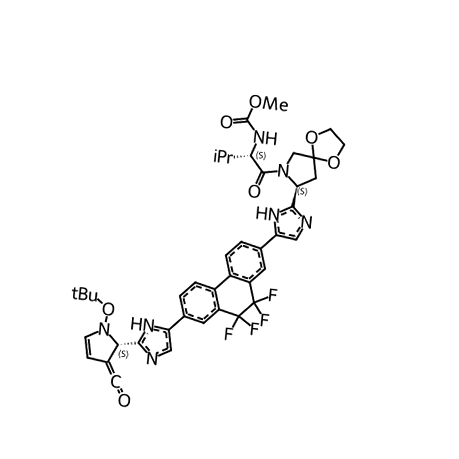 COC(=O)N[C@H](C(=O)N1CC2(C[C@H]1c1ncc(-c3ccc4c(c3)C(F)(F)C(F)(F)c3cc(-c5cnc([C@@H]6C(=C=O)C=CN6OC(C)(C)C)[nH]5)ccc3-4)[nH]1)OCCO2)C(C)C